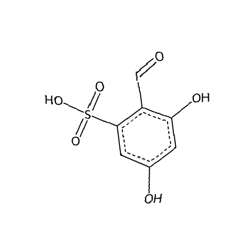 O=Ic1c(O)cc(O)cc1S(=O)(=O)O